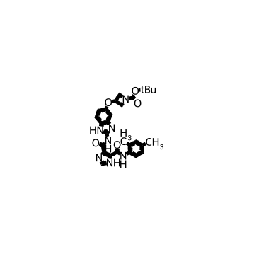 Cc1ccc(NC(=O)c2[nH]cnc2C(=O)Nc2nc3cc(OC4CN(C(=O)OC(C)(C)C)C4)ccc3[nH]2)c(C)c1